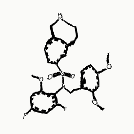 COc1ccc(CN(c2c(F)cc(F)cc2OC)S(=O)(=O)c2ccc3c(c2)CCNC3)c(OC)c1